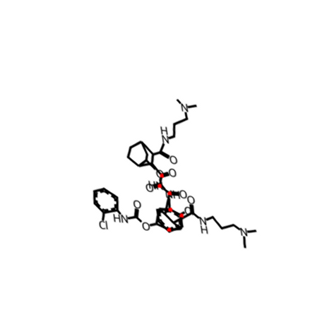 CN(C)CCCNC(=O)C1C2CCC(C(OC(=O)Nc3ccccc3Cl)C2)C1C(=O)NC(=O)C1C2CCC(CC2OC(=O)Nc2ccccc2Cl)C1C(=O)NCCCN(C)C